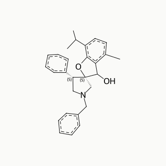 Cc1ccc(C(C)C)c2c1C(O)[C@]1(CN(Cc3ccccc3)C[C@@H]1c1ccccc1)O2